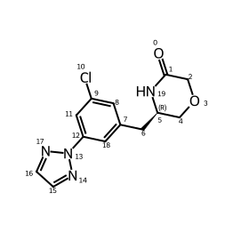 O=C1COC[C@@H](Cc2cc(Cl)cc(-n3nccn3)c2)N1